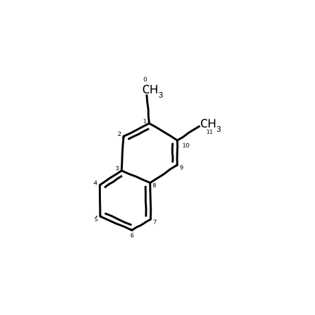 Cc1cc2c[c]ccc2cc1C